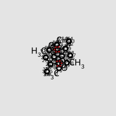 Cc1ccc2c(c1)Oc1cc(C)cc3c1B2c1cc2c(-c4c(-c5ccccc5)cc(-c5ccccc5)cc4-c4ccccc4)cc4c5c(cc6c(-c7c(-c8ccccc8)cc(-c8ccccc8)cc7-c7ccccc7)cc-3c1c6c25)B1c2ccc(C)cc2Oc2cc(C)cc-4c21